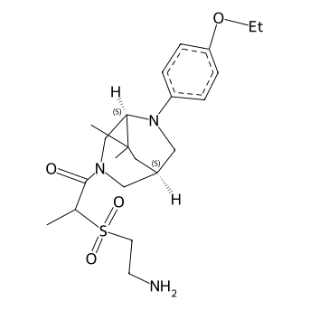 CCOc1ccc(N2C[C@H]3CN(C(=O)C(C)S(=O)(=O)CCN)C[C@@H]2C(C)(C)C3)cc1